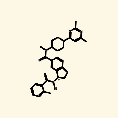 CCN(C(=O)c1ccccc1C)[C@@H]1CCc2ccc(C(=O)N(C)C3CCN(c4cc(C)nc(C)n4)CC3)cc21